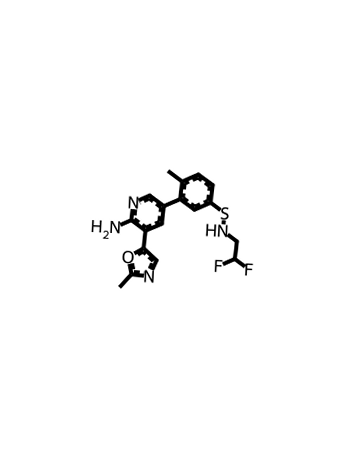 Cc1ncc(-c2cc(-c3cc(SNCC(F)F)ccc3C)cnc2N)o1